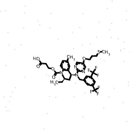 CC[C@@H]1C[C@H](N(Cc2cc(C(F)(F)F)cc(C(F)(F)F)c2)c2ncc(OCCCSC)cn2)c2cc(C)ccc2N1C(=O)OCCC(=O)O